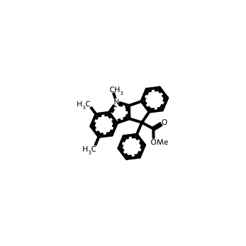 COC(=O)C1(c2ccccc2)c2ccccc2-c2c1c1cc(C)cc(C)c1n2C